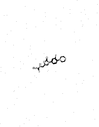 CC[C@H](C)C(=S)NCC1CN(c2ccc(N3CCSCC3)c(F)c2)C(=O)O1